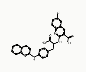 O=C(O)c1cc2cc(Cl)ccc2nc1NC(Cc1ccc(Nc2ccc3ccccc3n2)cc1)C(=O)O